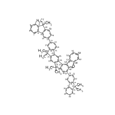 CC1(C)c2ccccc2-c2cc(-c3ccc4c(c3)C(C)(C)c3cc5c(cc3-4)-c3c(cc(-c4ccc6c(c4)-c4ccccc4C6(C)C)c4oc6ccccc6c34)C5(C)C)ccc21